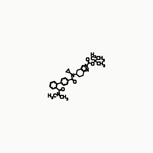 CN(C)C(=O)c1ccccc1-c1ccc(C(=O)N(C2CC2)C2CCc3nn(C(=O)OC(C)(C)C)cc3C2)cc1